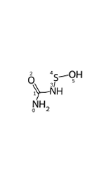 NC(=O)NSO